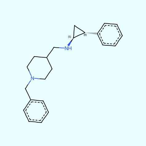 c1ccc(CN2CCC(CN[C@H]3C[C@@H]3c3ccccc3)CC2)cc1